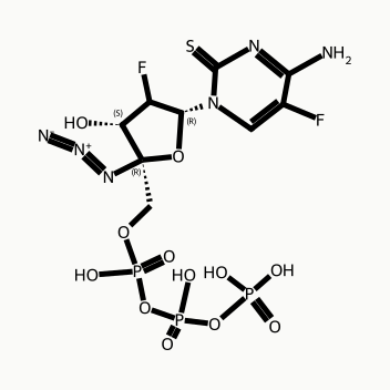 [N-]=[N+]=N[C@]1(COP(=O)(O)OP(=O)(O)OP(=O)(O)O)O[C@@H](n2cc(F)c(N)nc2=S)C(F)[C@H]1O